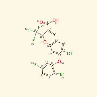 O=C(O)C1=Cc2cc(Cl)c(Oc3cc(F)ccc3Br)cc2OC1C(F)(F)F